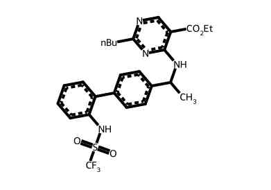 CCCCc1ncc(C(=O)OCC)c(NC(C)c2ccc(-c3ccccc3NS(=O)(=O)C(F)(F)F)cc2)n1